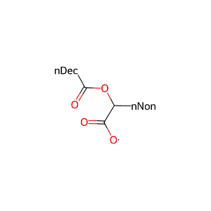 CCCCCCCCCCC(=O)OC(CCCCCCCCC)C([O])=O